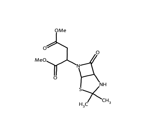 COC(=O)CC(C(=O)OC)N1C(=O)C2NC(C)(C)SC21